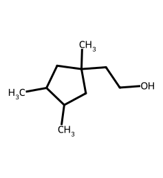 CC1CC(C)(CCO)CC1C